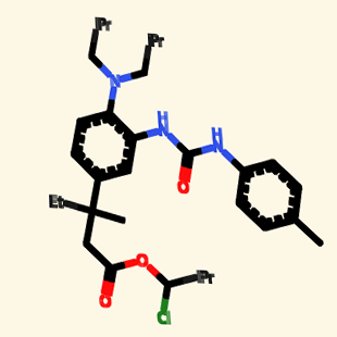 CCC(C)(CC(=O)OC(Cl)C(C)C)c1ccc(N(CC(C)C)CC(C)C)c(NC(=O)Nc2ccc(C)cc2)c1